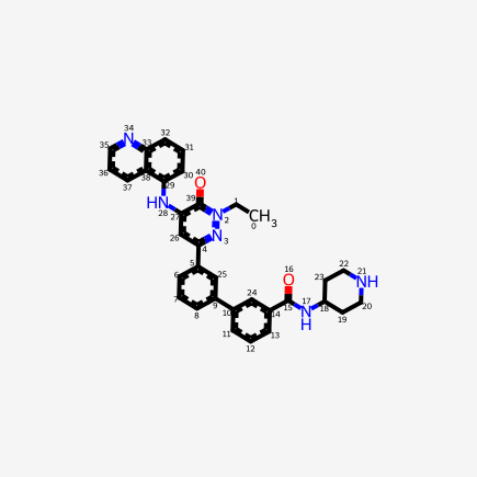 CCn1nc(-c2cccc(-c3cccc(C(=O)NC4CCNCC4)c3)c2)cc(Nc2cccc3ncccc23)c1=O